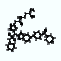 CC(O)CCNC(=O)Cc1nnc(C(c2nc3ccc(-c4ccc(C(=O)N5CCOCC5)cc4)cc3s2)S(=O)(=O)Cc2ccccc2)o1